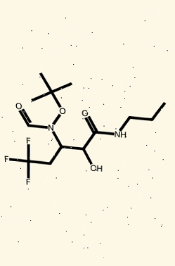 CCCNC(=O)C(O)C(CC(F)(F)F)N(C=O)OC(C)(C)C